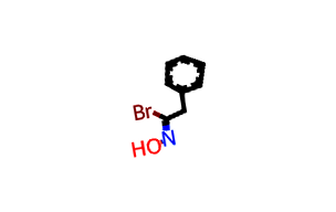 ON=C(Br)Cc1ccccc1